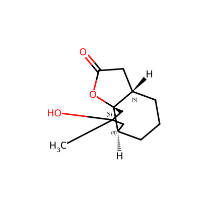 CC1(O)C[C@H]2CCC[C@H]3CC(=O)O[C@@]23C1